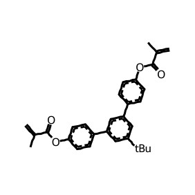 C=C(C)C(=O)Oc1ccc(-c2cc(-c3ccc(OC(=O)C(=C)C)cc3)cc(C(C)(C)C)c2)cc1